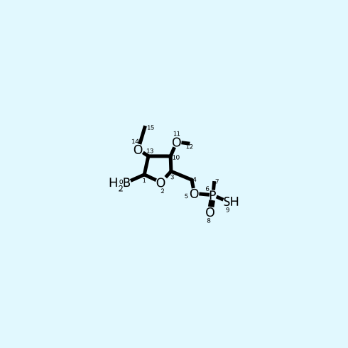 BC1OC(COP(C)(=O)S)C(OC)C1OC